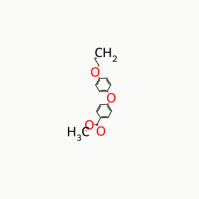 C=CCOc1ccc(Oc2ccc(C(=O)OC)cc2)cc1